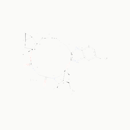 COc1ccc2nc3c(nc2c1)O[C@H]1CN(C(=O)[C@H](C(C)C)NC(=O)O[C@@H]2CC4CC4[C@H]2CCCCC3)[C@H](C(C)=O)[C@@H]1CC#N